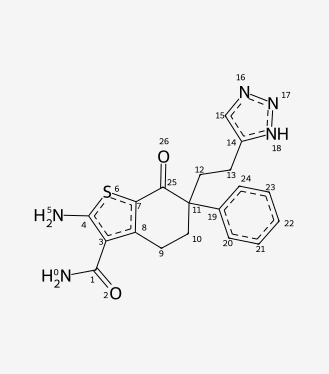 NC(=O)c1c(N)sc2c1CCC(CCc1cnn[nH]1)(c1ccccc1)C2=O